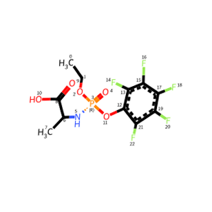 CCO[P@](=O)(NC(C)C(=O)O)Oc1c(F)c(F)c(F)c(F)c1F